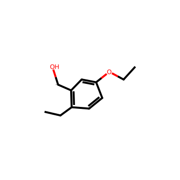 CCOc1ccc(CC)c([CH]O)c1